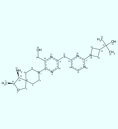 C[C@@H]1OCC2(CCN(c3ncc(Sc4ccnc(N5CC(C(C)(C)O)C5)n4)nc3CO)CC2)[C@@H]1N